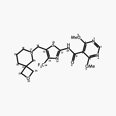 COc1ncnc(OC)c1C(=O)Nc1nc(C(F)(F)F)c(CN2CCCC3(COC3)C2)s1